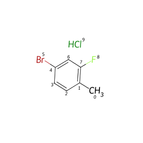 Cc1ccc(Br)cc1F.Cl